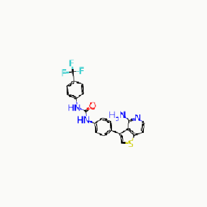 Nc1nccc2scc(-c3ccc(NC(=O)Nc4ccc(C(F)(F)F)cc4)cc3)c12